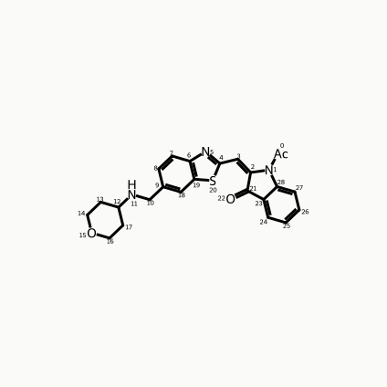 CC(=O)N1/C(=C/c2nc3ccc(CNC4CCOCC4)cc3s2)C(=O)c2ccccc21